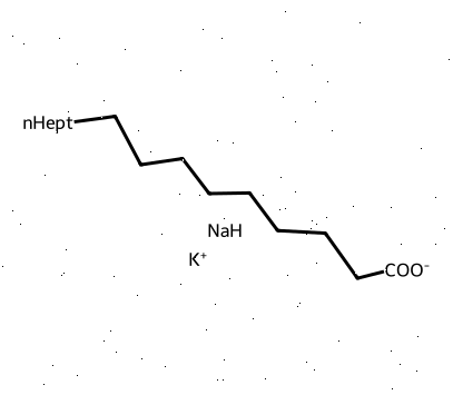 CCCCCCCCCCCCCCCC(=O)[O-].[K+].[NaH]